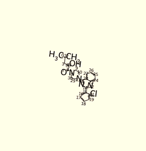 CC(C)C[C@@H](O)C(=O)N1CCN(c2nc(-c3ccccc3Cl)nc3ccccc23)CC1